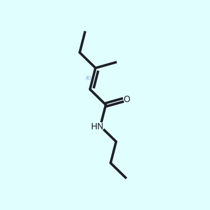 CCCNC(=O)/C=C(\C)CC